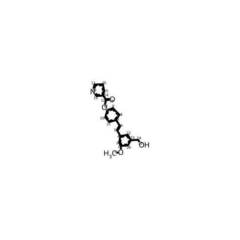 COc1cc(/C=C/c2ccc(OC(=O)c3cccnc3)cc2)cc(CO)c1